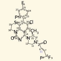 C[C@H]1CN(C(=O)/C=C/C(F)F)CCN1c1nc(=O)n2c3c(c(-c4ccc(F)cc4F)c(Cl)cc13)SCC2